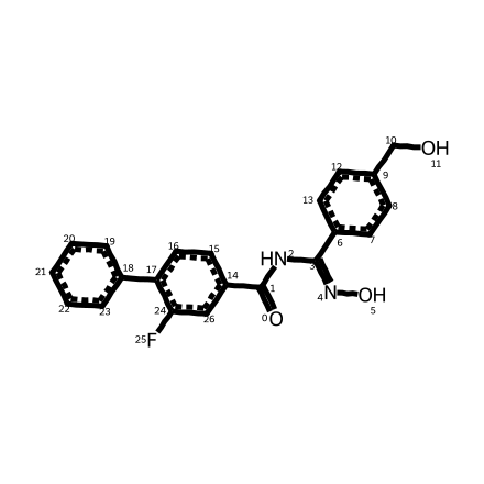 O=C(N/C(=N/O)c1ccc(CO)cc1)c1ccc(-c2ccccc2)c(F)c1